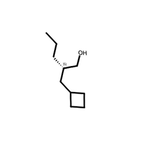 CCC[C@H](CO)CC1CCC1